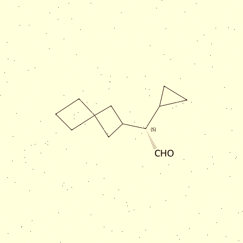 O=C[C@@H](C1CC1)C1CC2(CCC2)C1